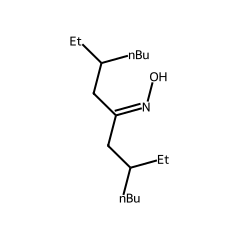 CCCCC(CC)CC(CC(CC)CCCC)=NO